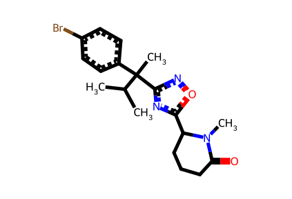 CC(C)C(C)(c1ccc(Br)cc1)c1noc(C2CCCC(=O)N2C)n1